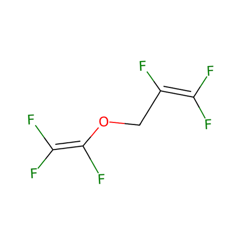 FC(F)=C(F)COC(F)=C(F)F